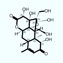 CC1=CC(=O)[C@@H](O)[C@]2(C)[C@H]3[C@@H](O)[C@@H](O)[C@]4(CO)OC[C@@]35[C@@H](C[C@@H]12)OC(=O)[C@H](O)[C@]54O